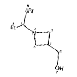 CCCC(CC)N1CC(CO)C1